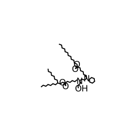 CCCCCCCCCCCOC(=O)CCCCCN(CCN(CCO)CCCCCC(=O)OCC(CCCCCCC)CCCCCCC)C1CCCCC1